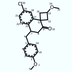 COc1ccc(CC2CC(=O)C3(CC(OC)C3)c3cc(Cl)cnc32)cc1